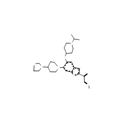 C/N=C/C(=O)c1cc2cc(OC3CCN(C(C)C)CC3)c(N3CCC(N4CCOC4)CC3)cc2[nH]1